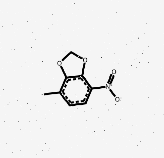 [CH2]c1ccc([N+](=O)[O-])c2c1OCO2